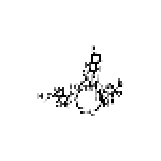 CCc1nc2ccc(F)cc2nc1O[C@@H]1C[C@H]2C(=O)N[C@]3(C(=O)NS(=O)(=O)C4CC4)C[C@H]3C=CCCCCC[C@H](NC(=O)c3noc(C)c3C)C(=O)N2C1